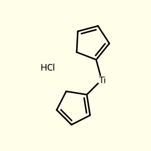 C1=CC[C]([Ti][C]2=CC=CC2)=C1.Cl